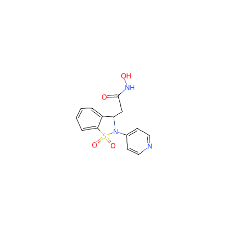 O=C(CC1c2ccccc2S(=O)(=O)N1c1ccncc1)NO